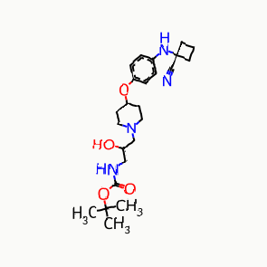 CC(C)(C)OC(=O)NCC(O)CN1CCC(Oc2ccc(NC3(C#N)CCC3)cc2)CC1